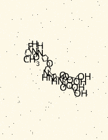 Cc1ccc(F)c(NC(=O)Nc2ccc(Oc3ccnc(-c4cc(C(=O)NC(C(=O)OCC(O)CO)C(=O)OCC(O)CO)c[nH]4)c3)cc2)c1